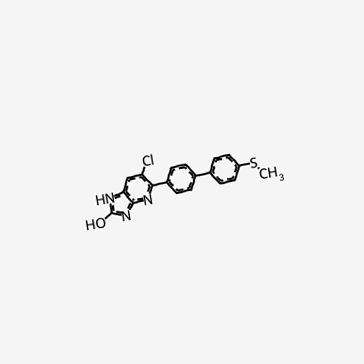 CSc1ccc(-c2ccc(-c3nc4nc(O)[nH]c4cc3Cl)cc2)cc1